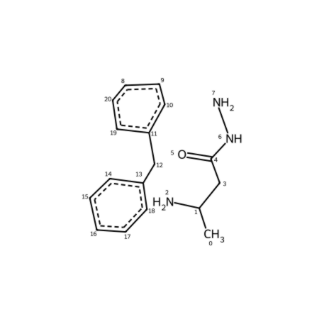 CC(N)CC(=O)NN.c1ccc(Cc2ccccc2)cc1